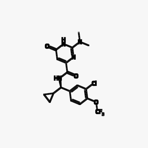 CN(C)c1nc(C(=O)N[C@@H](c2ccc(OC(F)(F)F)c(Cl)c2)C2CC2)cc(=O)[nH]1